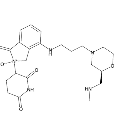 CNC[C@H]1CN(CCCNc2cccc3c2C[N+]([O-])(C2CCC(=O)NC2=O)C3=O)CCO1